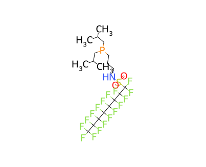 CC(C)CP(CCCNS(=O)(=O)C(F)(F)C(F)(F)C(F)(F)C(F)(F)C(F)(F)C(F)(F)C(F)(F)C(F)(F)F)CC(C)C